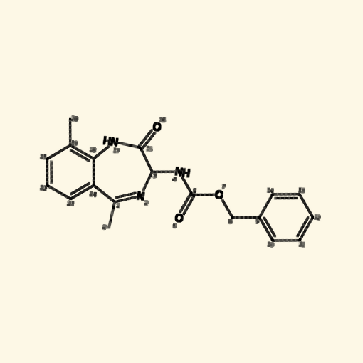 CC1=NC(NC(=O)OCc2ccccc2)C(=O)Nc2c(C)cccc21